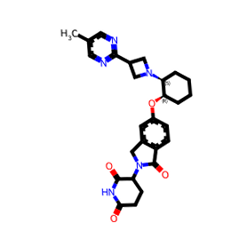 Cc1cnc(C2CN([C@H]3CCCC[C@H]3Oc3ccc4c(c3)CN(C3CCC(=O)NC3=O)C4=O)C2)nc1